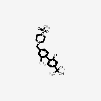 CCc1cc(C(O)(C(F)(F)F)C(F)(F)F)ccc1-c1ccc(CN2CCN(S(C)(=O)=O)CC2)cc1C